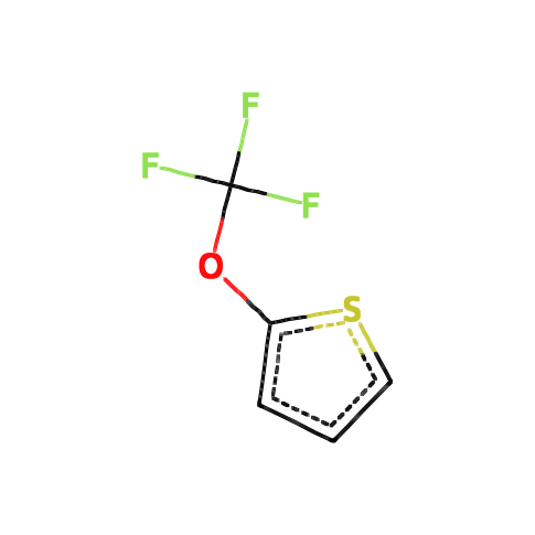 FC(F)(F)Oc1cccs1